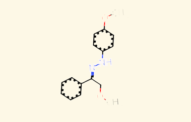 COCC(=NNc1ccc(OC)cc1)c1ccccc1